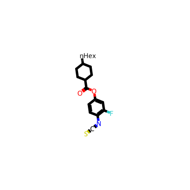 CCCCCCC1CCC(C(=O)Oc2ccc(N=C=S)c(F)c2)CC1